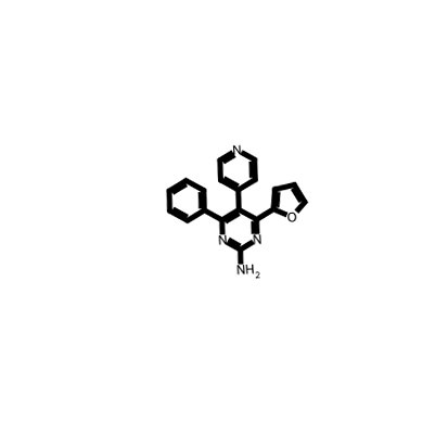 Nc1nc(-c2ccccc2)c(-c2ccncc2)c(-c2ccco2)n1